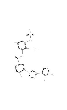 COc1c(NC(=O)c2ccc(C)c(-n3cc(-c4cnn(C(C)C)c4C)nn3)c2)cc(C(C)(C)C)cc1NS(C)(=O)=O